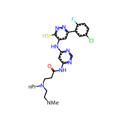 CCCN(CCNC)CCC(=O)Nc1cc(Nc2cc(-c3cc(Cl)ccc3F)nnc2S)ncn1